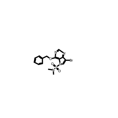 CN(C)S(=O)(=O)n1cc(Br)c2ncnc(OCc3ccccc3)c21